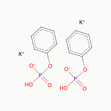 O=P([O-])(O)Oc1ccccc1.O=P([O-])(O)Oc1ccccc1.[K+].[K+]